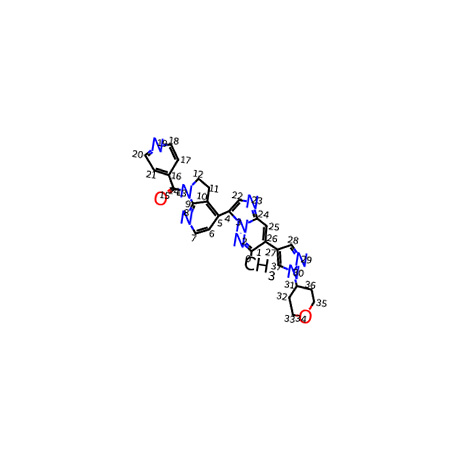 Cc1nn2c(-c3ccnc4c3CCN4C(=O)c3ccncc3)cnc2cc1-c1cnn(C2CCOCC2)c1